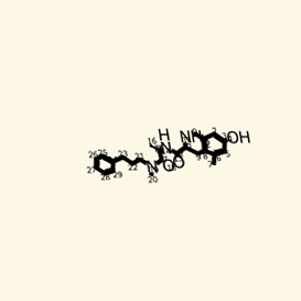 Cc1cc(O)cc(C)c1CC(N)C(=O)N[C@H](C)C(=O)N(C)CCCc1ccccc1